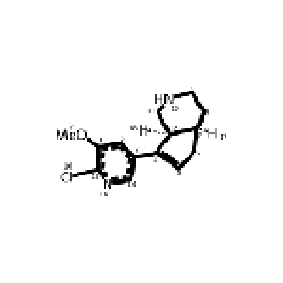 COc1cc(C2=CC[C@@H]3CCNC[C@H]23)cnc1Cl